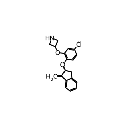 C=C1c2ccccc2CC1Oc1ccc(Cl)cc1OC1CNC1